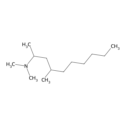 CCCCCCC(C)CC(C)N(C)C